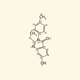 CCc1nc2cc(O)ccc2c(=O)n1-c1ccc(C)cc1